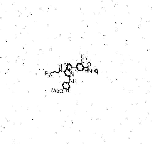 COc1ccc(Nc2cc(NCCC(F)(F)F)c3ncc(-c4ccc(C(=O)NC5CC5)c(C)c4)n3n2)cn1